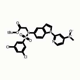 C[S+]([O-])c1ccnc(-n2ccc3cc(N(CC(=O)OC(C)(C)C)S(=O)(=O)c4cc(Cl)cc(Cl)c4)ccc32)c1